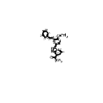 COc1nnc(-c2nnc3c(C(N)=O)cccn23)nc1NCc1ccccc1